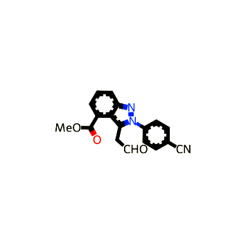 COC(=O)c1cccc2nn(-c3ccc(C#N)cc3)c(CC=O)c12